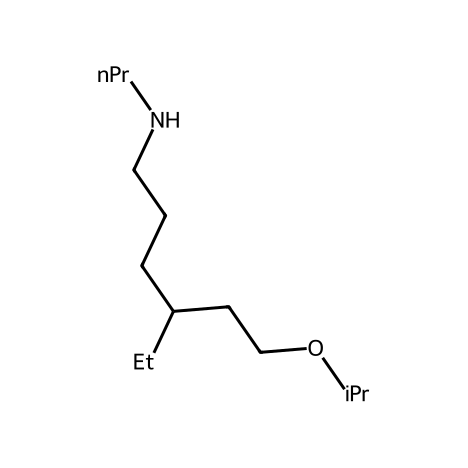 CCCNCCCC(CC)CCOC(C)C